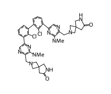 CNc1nc(-c2cccc(-c3cccc(-c4cnc(CN5CC6(CNC(=O)C6)C5)c(NC)n4)c3Cl)c2Cl)cnc1CN1CC2(CNC(=O)C2)C1